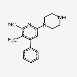 N#Cc1nc(N2CCNCC2)cc(-c2ccccc2)c1C(F)(F)F